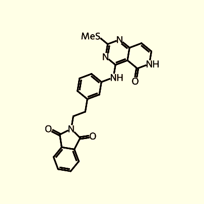 CSc1nc(Nc2cccc(CCN3C(=O)c4ccccc4C3=O)c2)c2c(=O)[nH]ccc2n1